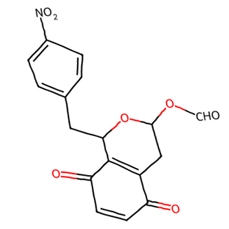 O=COC1CC2=C(C(=O)C=CC2=O)C(Cc2ccc([N+](=O)[O-])cc2)O1